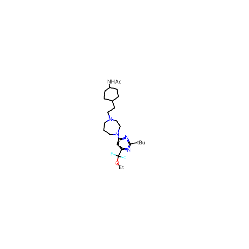 CCOC(F)(F)c1cc(N2CCCN(CCC3CCC(NC(C)=O)CC3)CC2)nc(C(C)(C)C)n1